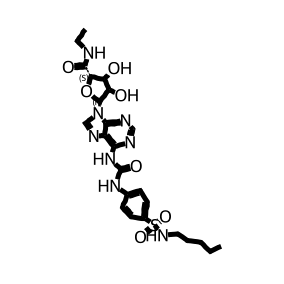 CCCCCNS(=O)(=O)c1ccc(NC(=O)Nc2ncnc3c2ncn3[C@@H]2O[C@H](C(=O)NCC)C(O)C2O)cc1